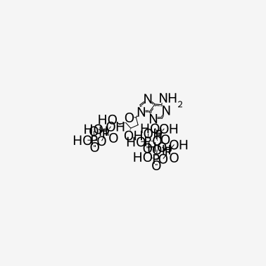 Nc1ncnc2c1ncn2[C@H]1C[C@H](O)[C@@H](CO)O1.O=P(O)(O)OP(=O)(O)O.O=P(O)(O)OP(=O)(O)O.O=P(O)(O)OP(=O)(O)O